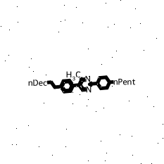 CCCCCCCCCCCCc1ccc(-c2cnc(C3CCC(CCCCC)CC3)nc2C)cc1